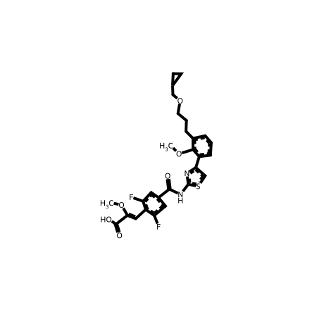 COC(=Cc1c(F)cc(C(=O)Nc2nc(-c3cccc(CCCOCC4CC4)c3OC)cs2)cc1F)C(=O)O